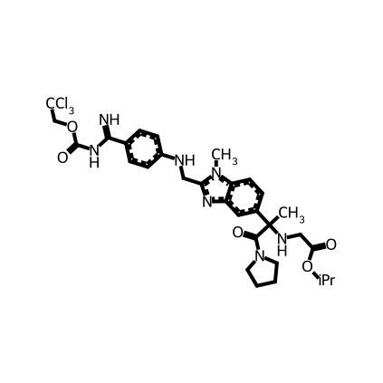 CC(C)OC(=O)CNC(C)(C(=O)N1CCCC1)c1ccc2c(c1)nc(CNc1ccc(C(=N)NC(=O)OCC(Cl)(Cl)Cl)cc1)n2C